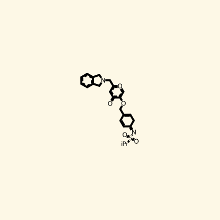 CC(C)S(=O)(=O)N=C1C=CC(COc2coc(CN3Cc4ccccc4C3)cc2=O)=CC1